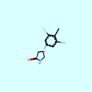 Cc1c(F)cc([C@@H]2CNC(=O)C2)cc1F